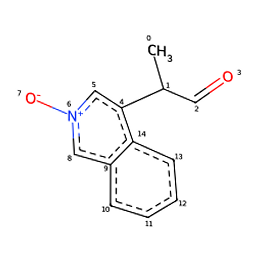 CC(C=O)c1c[n+]([O-])cc2ccccc12